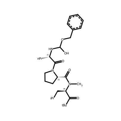 CCC[C@H](NC(O)OCc1ccccc1)C(=O)N1CCC[C@H]1C(=O)N(C)[C@H](CC(C)C)C(=O)C(C)(C)C